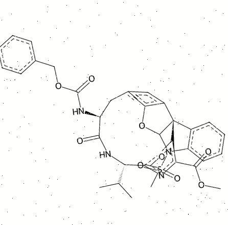 COC(=O)c1nc2oc1[C@]13c4cc(ccc4OC1N(S(C)(=O)=O)c1ccccc13)C[C@H](NC(=O)OCc1ccccc1)C(=O)N[C@H]2C(C)C